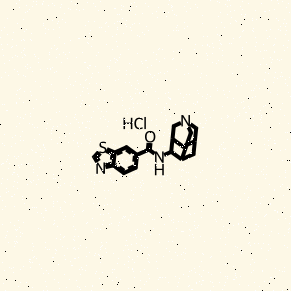 Cl.O=C(NC1C2CC3CC1CN(C3)C2)c1ccc2ncsc2c1